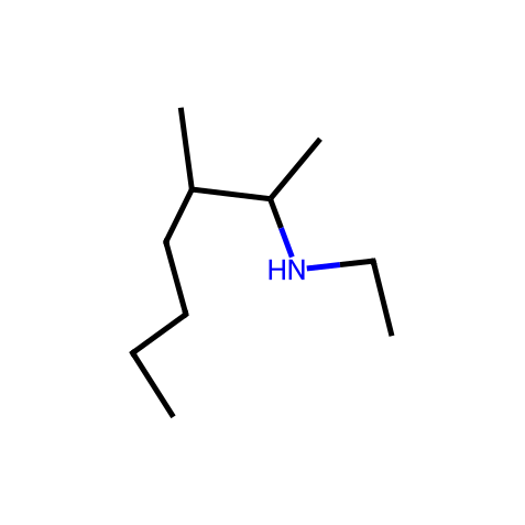 CCCCC(C)C(C)NCC